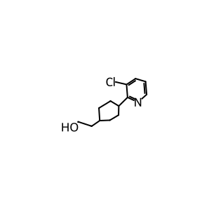 OCCC1CCC(c2ncccc2Cl)CC1